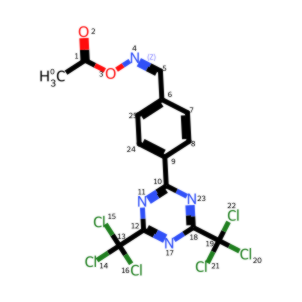 CC(=O)O/N=C\c1ccc(-c2nc(C(Cl)(Cl)Cl)nc(C(Cl)(Cl)Cl)n2)cc1